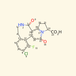 O=C1NCCc2ccc(Cl)c(F)c2-c2cc(=O)n3c(c21)CCC3C(=O)O